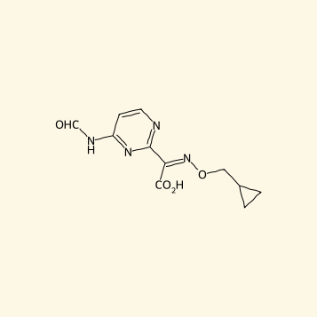 O=CNc1ccnc(C(=NOCC2CC2)C(=O)O)n1